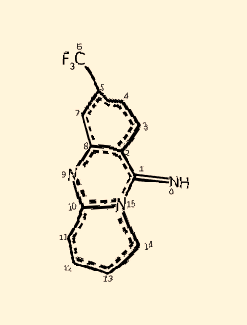 N=c1c2ccc(C(F)(F)F)cc2nc2ccccn12